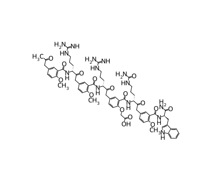 COc1ccc(CC(=O)[C@@H](CCCNC(N)=O)NC(=O)c2cc(CC(=O)[C@@H](CCCNC(=N)N)NC(=O)c3cc(CC(=O)[C@@H](CCCNC(=N)N)NC(=O)c4cc(CC(C)=O)ccc4OC)ccc3OC)ccc2OCC(=O)O)cc1C(=O)N[C@H](Cc1c[nH]c2ccccc12)C(N)=O